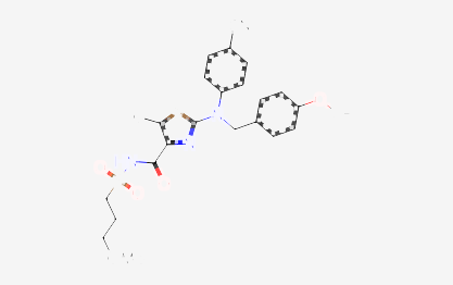 COCCCS(=O)(=O)NC(=O)c1nc(N(Cc2ccc(OC(F)(F)F)cc2)c2ccc(C#N)cc2)sc1C